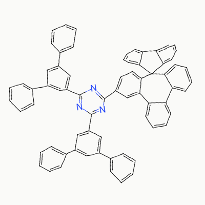 c1ccc(-c2cc(-c3ccccc3)cc(-c3nc(-c4cc(-c5ccccc5)cc(-c5ccccc5)c4)nc(-c4ccc5c(c4)-c4ccccc4-c4ccccc4C54c5ccccc5-c5ccccc54)n3)c2)cc1